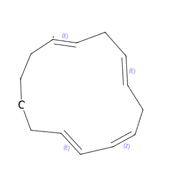 [C]1=C/C/C=C/C/C=C\C=C\CCCC/1